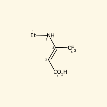 CCNC(=CC(=O)O)C(F)(F)F